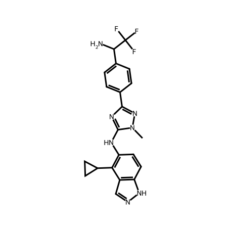 Cn1nc(-c2ccc(C(N)C(F)(F)F)cc2)nc1Nc1ccc2[nH]ncc2c1C1CC1